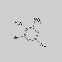 [C-]#[N+]c1cc(Br)c(N)c([N+](=O)[O-])c1